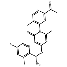 BC(Oc1cc(C)n(-c2cc(C(C)=O)ncc2C)c(=O)c1)c1ncc(F)cc1F